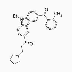 CCn1c2ccc(C(=O)CCC3CCCC3)cc2c2cc(C(=O)c3ccccc3C)ccc21